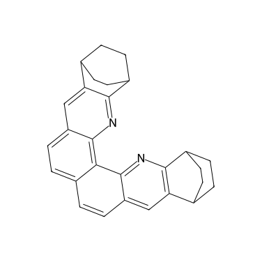 c1cc2ccc3cc4c(nc3c2c2nc3c(cc12)C1CCC3CC1)C1CCC4CC1